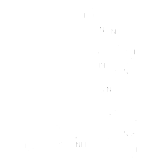 C=CC(=O)Nc1ccc2c(-c3ccnc(Nc4cn(C)nc4C)n3)cn(C)c2c1